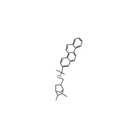 CC1C2CC(COC(C)(C)c3ccc4c(ccc5c6ccccc6ccc45)c3)C(C2)C1C